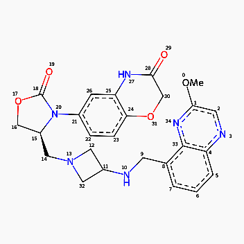 COc1cnc2cccc(CNC3CN(C[C@H]4COC(=O)N4c4ccc5c(c4)NC(=O)CO5)C3)c2n1